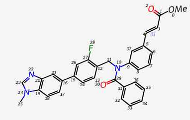 COC(=O)/C=C/c1cccc(N(Cc2ccc(-c3ccc4c(c3)ncn4C)cc2F)C(=O)c2ccccc2)c1